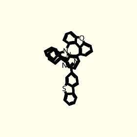 c1ccc(-c2nc(-c3ccc4c(c3)sc3ccccc34)nc(-c3cccc4oc5cccc(-n6c7ccccc7c7ccccc76)c5c34)n2)cc1